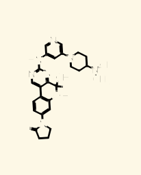 CN(C)C1CCN(c2cncc(Nc3ncc4c(n3)C(C)(C)Oc3cc(N5CCCC5=O)ccc3-4)c2)CC1